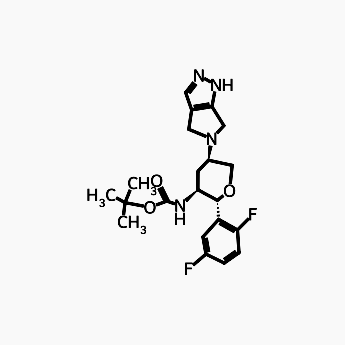 CC(C)(C)OC(=O)N[C@H]1C[C@@H](N2Cc3cn[nH]c3C2)CO[C@@H]1c1cc(F)ccc1F